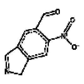 O=Cc1cc2c(cc1[N+](=O)[O-])CN=C2